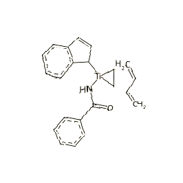 C=CC=C.O=C([NH][Ti]1([CH]2C=Cc3ccccc32)[CH2][CH2]1)c1ccccc1